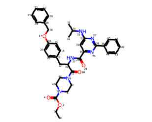 CCOC(=O)N1CCN(C(=O)C(Cc2ccc(OCc3ccccc3)cc2)NC(=O)c2cc(NC(C)C)nc(-c3ccccc3)n2)CC1